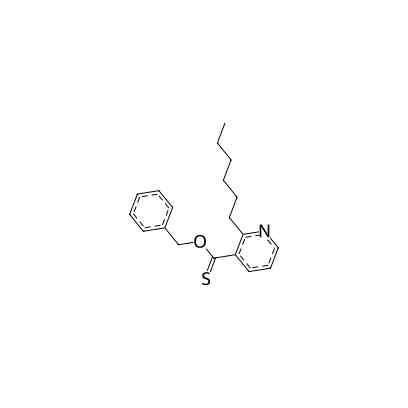 CCCCCCc1ncccc1C(=S)OCc1ccccc1